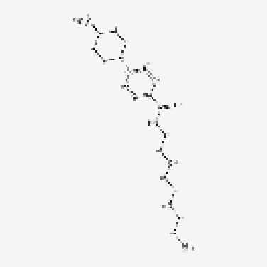 CCOC(=O)[C@H]1CC[C@H](c2ccc(C(=O)NCCOCCOCCN)cn2)CC1